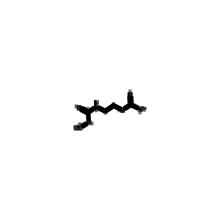 CCCC(=O)OCCNC(=O)OC(C)(C)C